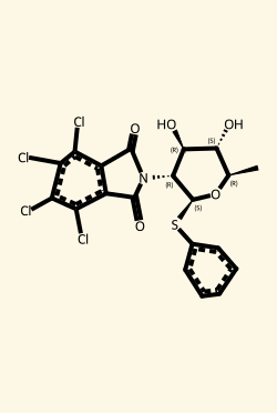 C[C@H]1O[C@@H](Sc2ccccc2)[C@H](N2C(=O)c3c(Cl)c(Cl)c(Cl)c(Cl)c3C2=O)[C@@H](O)[C@@H]1O